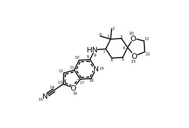 CC1(C)CC2(CCC1Nc1cc3cc(C#N)oc3cn1)OCCO2